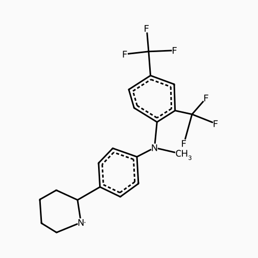 CN(c1ccc(C2CCCC[N]2)cc1)c1ccc(C(F)(F)F)cc1C(F)(F)F